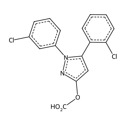 O=C(O)Oc1cc(-c2ccccc2Cl)n(-c2cccc(Cl)c2)n1